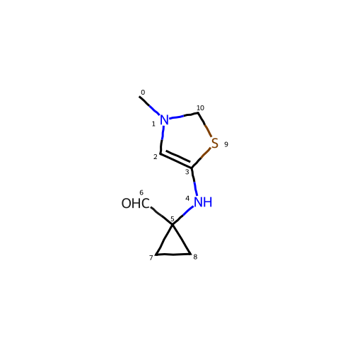 CN1C=C(NC2(C=O)CC2)SC1